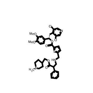 COc1ccc([C@H](Cc2c(Cl)cncc2Cl)OC(=O)c2ccc(CNCC(C(=O)OCC3CCN(C)CC3)c3ccccc3)s2)cc1OC